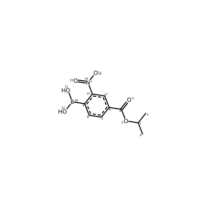 CC(C)OC(=O)c1ccc(B(O)O)c([N+](=O)[O-])c1